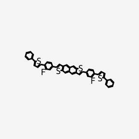 Fc1cc(-c2cc3cc4cc5sc(-c6ccc(-c7ccc(-c8ccccc8)s7)c(F)c6)cc5cc4cc3s2)ccc1-c1ccc(-c2ccccc2)s1